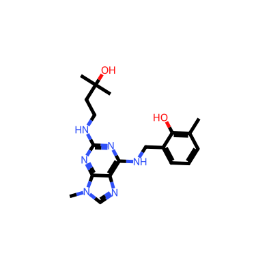 Cc1cccc(CNc2nc(NCCC(C)(C)O)nc3c2ncn3C)c1O